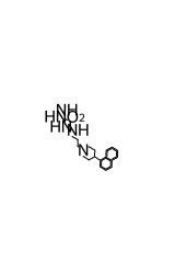 NNC(=O)NNCCCN1CCC(c2cccc3ccccc23)CC1